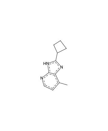 Cc1ccnc2[nH]c(C3CCC3)nc12